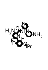 CC(C)Oc1ccc(F)c(-c2nc(C(=O)Nc3cnccc3N3CCC[C@H](N)C3)c(N)cc2F)c1F